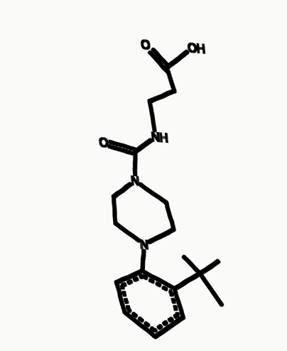 CC(C)(C)c1ccccc1N1CCN(C(=O)NCCC(=O)O)CC1